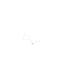 CC1(c2ccc(F)c(Cl)c2)OC(N)=C(O)C1=O